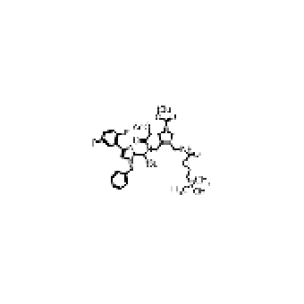 CC(=O)OCC(=O)N(CC1CN(C(=O)OC(C)(C)C)CC1CNC(=O)OCCS(C)(C)C)C(c1nc(-c2cc(F)ccc2F)cn1Cc1ccccc1)C(C)(C)C